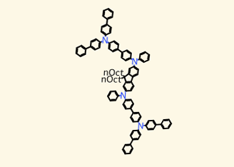 CCCCCCCCC1(CCCCCCCC)c2cc(N(c3ccccc3)c3ccc(-c4ccc(N(c5ccc(-c6ccccc6)cc5)c5ccc(-c6ccccc6)cc5)cc4)cc3)ccc2-c2ccc(N(c3ccccc3)c3ccc(-c4ccc(N(c5ccc(-c6ccccc6)cc5)c5ccc(-c6ccccc6)cc5)cc4)cc3)cc21